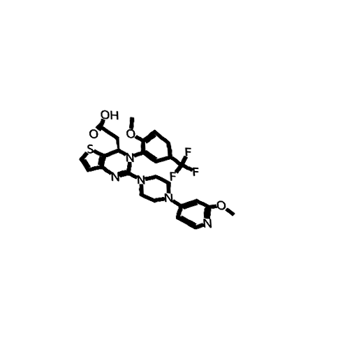 COC1=CCC(C(F)(F)F)C=C1N1C(N2CCN(c3ccnc(OC)c3)CC2)=Nc2ccsc2[C@H]1CC(=O)O